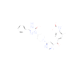 Cc1cc(C(=O)c2cc(N3CCC(n4nc(-c5ccccc5)[nH]c4=O)CC3)ncn2)cc2oc(=O)n(C)c12